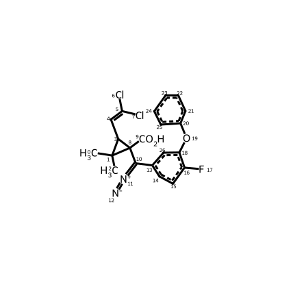 CC1(C)C(C=C(Cl)Cl)C1(C(=O)O)C(=[N+]=[N-])c1ccc(F)c(Oc2ccccc2)c1